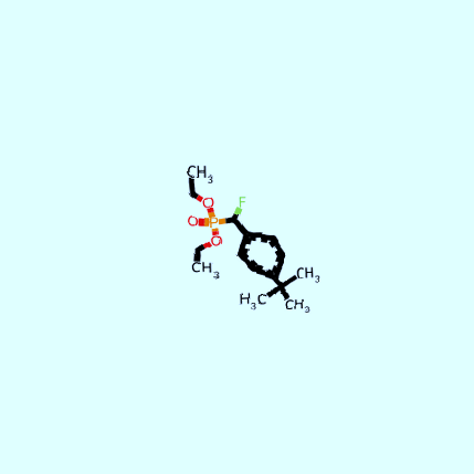 CCOP(=O)(OCC)C(F)c1ccc(C(C)(C)C)cc1